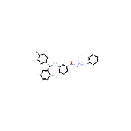 O=C(NNCc1ccccc1)c1ccc2c(c1)N=C(c1ccc(Cl)cc1)c1ccccc1S2